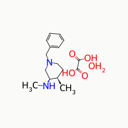 CN[C@H]1CN(Cc2ccccc2)CC[C@H]1C.O.O=C(O)C(=O)O